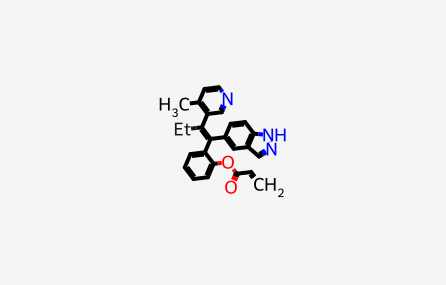 C=CC(=O)Oc1ccccc1/C(=C(\CC)c1cnccc1C)c1ccc2[nH]ncc2c1